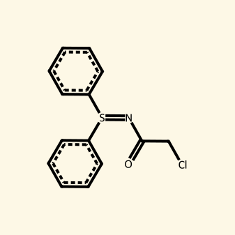 O=C(CCl)N=S(c1ccccc1)c1ccccc1